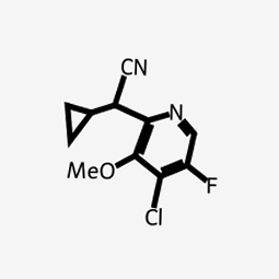 COc1c(C(C#N)C2CC2)ncc(F)c1Cl